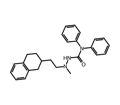 CN(CCC1CCc2[c]cccc2C1)NC(=O)N(c1ccccc1)c1ccccc1